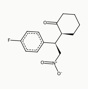 O=C1CCCC[C@H]1[C@@H](C[N+](=O)[O-])c1ccc(F)cc1